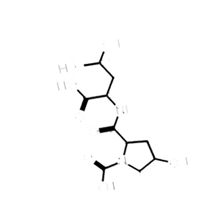 CC(=O)N1CC(O)CC1C(=O)NC(CC(C)C)C(=O)O